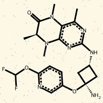 Cc1nc(N[C@H]2C[C@](N)(Oc3ccc(OC(F)F)nc3)C2)nc2c1N(C)C(=O)[C@H](C)N2C